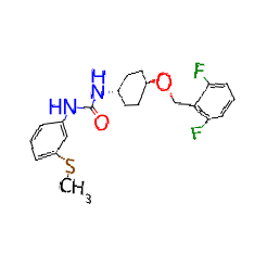 CSc1cccc(NC(=O)N[C@H]2CC[C@H](OCc3c(F)cccc3F)CC2)c1